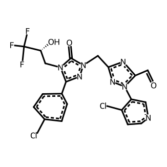 O=Cc1nc(Cn2nc(-c3ccc(Cl)cc3)n(C[C@@H](O)C(F)(F)F)c2=O)nn1-c1cnccc1Cl